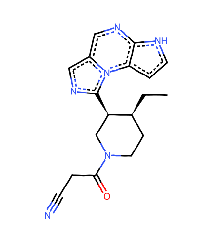 CC[C@H]1CCN(C(=O)CC#N)C[C@H]1c1ncc2cnc3[nH]ccc3n12